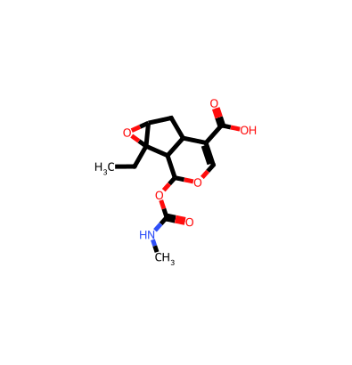 CCC12OC1CC1C(C(=O)O)=COC(OC(=O)NC)C12